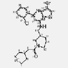 O=C(CC1CCCCC1)N1CCCC(CNc2cc(-c3ccccc3Cl)nc3c(Br)cnn23)C1